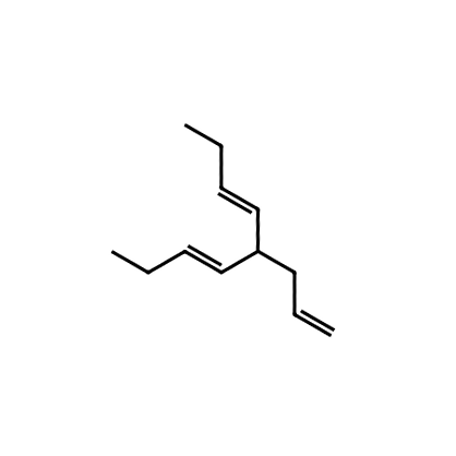 C=CCC(C=CCC)C=CCC